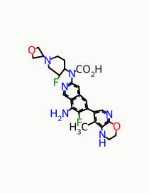 Cc1c(-c2cc3cc(N(C(=O)O)C4CCN(C5COC5)CC4F)ncc3c(N)c2F)cnc2c1NCCO2